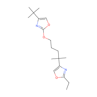 CCc1nc(C(C)(C)CCCOc2nc(C(C)(C)C)co2)co1